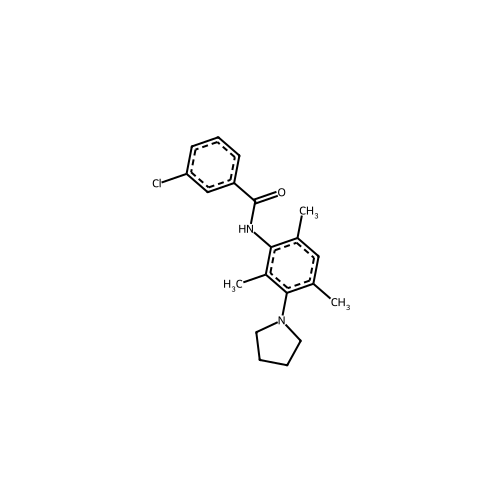 Cc1cc(C)c(N2CCCC2)c(C)c1NC(=O)c1cccc(Cl)c1